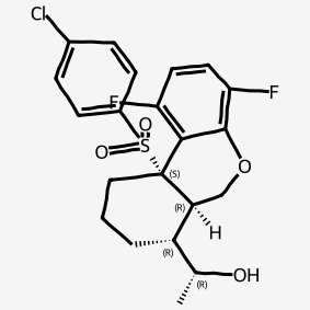 C[C@@H](O)[C@@H]1CCC[C@@]2(S(=O)(=O)c3ccc(Cl)cc3)c3c(F)ccc(F)c3OC[C@@H]12